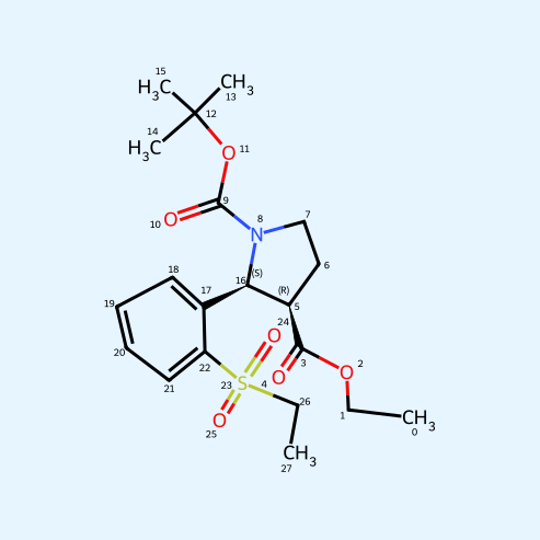 CCOC(=O)[C@@H]1CCN(C(=O)OC(C)(C)C)[C@@H]1c1ccccc1S(=O)(=O)CC